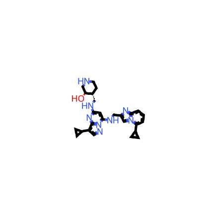 O[C@H]1CNCC[C@@H]1CNc1cc(NCc2cn3c(C4CC4)cccc3n2)n2ncc(C3CC3)c2n1